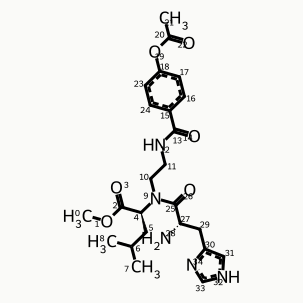 COC(=O)[C@H](CC(C)C)N(CCNC(=O)c1ccc(OC(C)=O)cc1)C(=O)[C@@H](N)Cc1c[nH]cn1